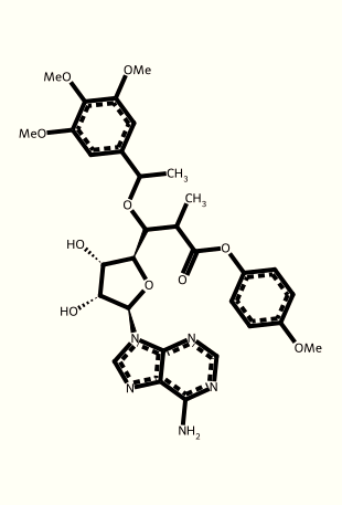 COc1ccc(OC(=O)C(C)C(OC(C)c2cc(OC)c(OC)c(OC)c2)[C@H]2O[C@@H](n3cnc4c(N)ncnc43)[C@H](O)[C@@H]2O)cc1